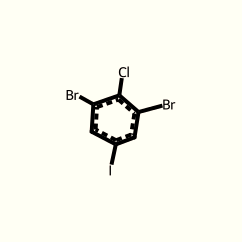 Clc1c(Br)cc(I)cc1Br